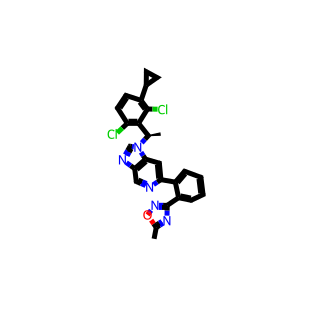 Cc1nc(-c2ccccc2-c2cc3c(cn2)ncn3[C@H](C)c2c(Cl)ccc(C3CC3)c2Cl)no1